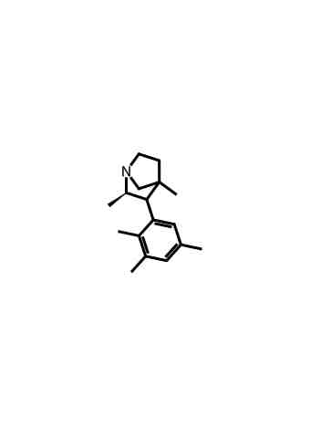 Cc1cc(C)c(C)c(C2[C@@H](C)N3CCC2(C)C3)c1